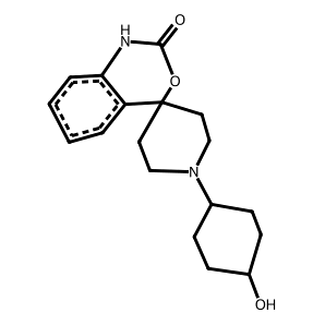 O=C1Nc2ccccc2C2(CCN(C3CCC(O)CC3)CC2)O1